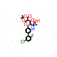 CB(O)N[C@H](Cc1ccc(-c2cc(Cl)ccc2F)cc1)C(=O)C1C(=O)OC(C)(C)OC1=O